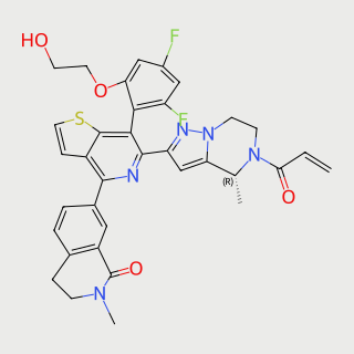 C=CC(=O)N1CCn2nc(-c3nc(-c4ccc5c(c4)C(=O)N(C)CC5)c4ccsc4c3-c3c(F)cc(F)cc3OCCO)cc2[C@H]1C